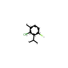 Cc1ccc(F)c(C(C)C)c1Cl